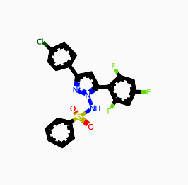 O=S(=O)(Nn1nc(-c2ccc(Cl)cc2)cc1-c1c(F)cc(F)cc1F)c1ccccc1